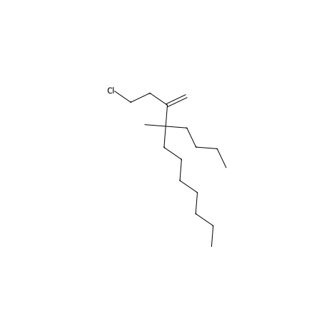 C=C(CCCl)C(C)(CCCC)CCCCCCC